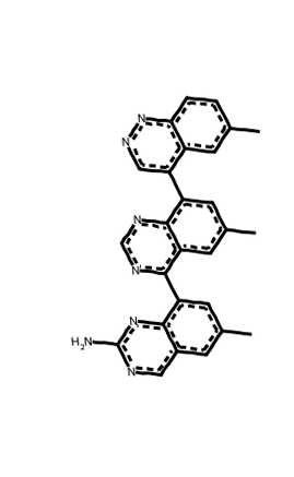 Cc1cc(-c2ncnc3c(-c4cnnc5ccc(C)cc45)cc(C)cc23)c2nc(N)ncc2c1